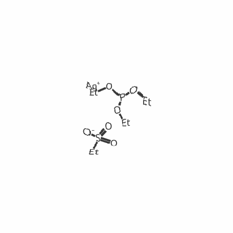 CCOP(OCC)OCC.CCS(=O)(=O)[O-].[Ag+]